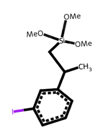 CO[Si](CC(C)c1cccc(I)c1)(OC)OC